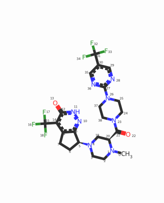 CN1CCN([C@H]2CCc3c2n[nH]c(=O)c3C(F)(F)F)C[C@H]1C(=O)N1CCN(c2ncc(C(F)(F)F)cn2)CC1